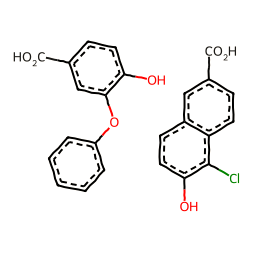 O=C(O)c1ccc(O)c(Oc2ccccc2)c1.O=C(O)c1ccc2c(Cl)c(O)ccc2c1